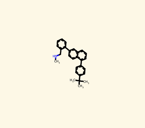 CNCc1ccccc1-c1ccc2c(-c3ccc(C(C)(C)C)cc3)cccc2c1